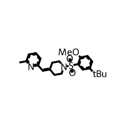 COc1ccc(C(C)(C)C)cc1S(=O)(=O)N1CCC(=Cc2cccc(C)n2)CC1